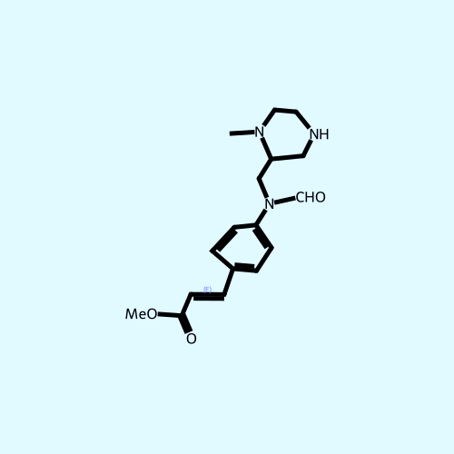 COC(=O)/C=C/c1ccc(N(C=O)CC2CNCCN2C)cc1